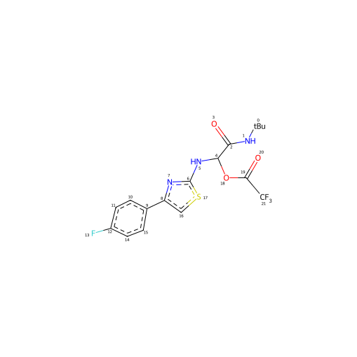 CC(C)(C)NC(=O)C(Nc1nc(-c2ccc(F)cc2)cs1)OC(=O)C(F)(F)F